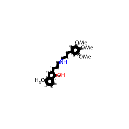 COc1cc(CCCNCCCC2Cc3c(C)cccc3C2O)cc(OC)c1OC